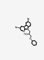 OC(COc1ccccc1)Cn1c2ccc(Br)cc2c2cc(Br)cnc21